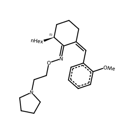 CCCCCC[C@H]1CCCC(=Cc2ccccc2OC)C1=NOCCN1CCCC1